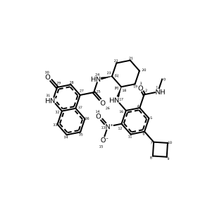 CNC(=O)c1cc(C2CCC2)cc([N+](=O)[O-])c1N[C@@H]1CCCC[C@@H]1NC(=O)c1cc(=O)[nH]c2ccccc12